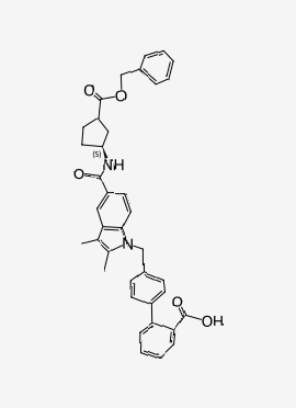 Cc1c(C)n(Cc2ccc(-c3ccccc3C(=O)O)cc2)c2ccc(C(=O)N[C@H]3CCC(C(=O)OCc4ccccc4)C3)cc12